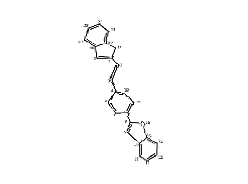 C1=C(/C=C/c2ccc(-c3cc4ccccc4o3)cc2)Cc2ccccc21